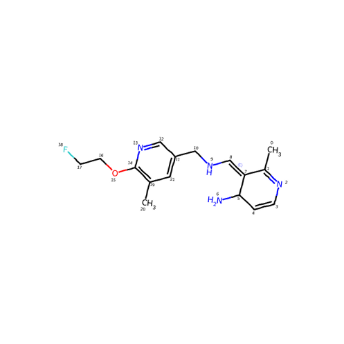 CC1=NC=CC(N)/C1=C\NCc1cnc(OCCF)c(C)c1